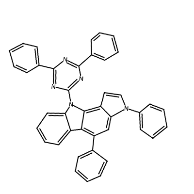 c1ccc(-c2nc(-c3ccccc3)nc(-n3c4ccccc4c4c(-c5ccccc5)cc5c(ccn5-c5ccccc5)c43)n2)cc1